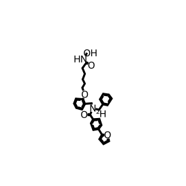 [2H]C(c1ccccc1)N(Cc1ccccc1OCCCCCC(=O)NO)C(=O)c1ccc(-c2ccco2)cc1